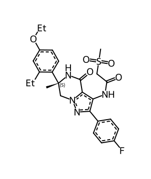 CCOc1ccc([C@@]2(C)Cn3nc(-c4ccc(F)cc4)c(NC(=O)CS(C)(=O)=O)c3C(=O)N2)c(CC)c1